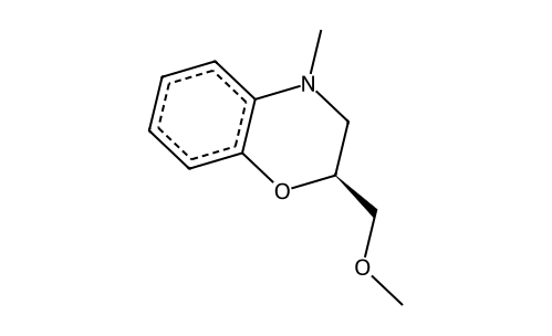 COC[C@@H]1CN(C)c2ccccc2O1